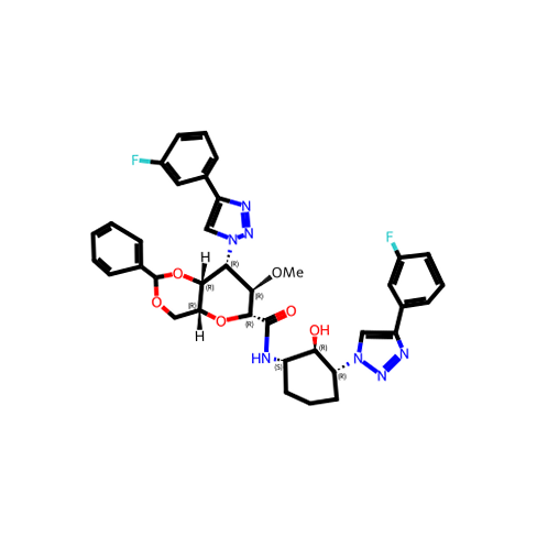 CO[C@@H]1[C@@H](n2cc(-c3cccc(F)c3)nn2)[C@H]2OC(c3ccccc3)OC[C@H]2O[C@H]1C(=O)N[C@H]1CCC[C@@H](n2cc(-c3cccc(F)c3)nn2)[C@@H]1O